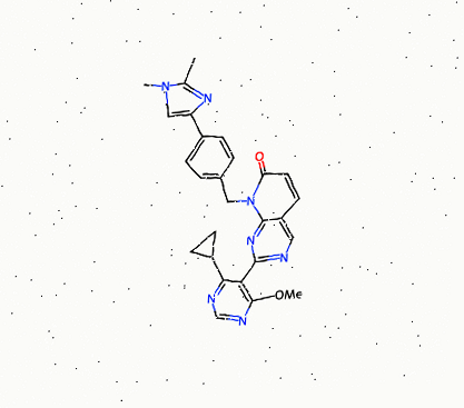 COc1ncnc(C2CC2)c1-c1ncc2ccc(=O)n(Cc3ccc(-c4cn(C)c(C)n4)cc3)c2n1